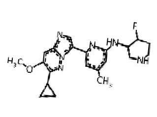 COc1cc2ncc(-c3cc(C)cc(NC4CNCCC4F)n3)n2nc1C1CC1